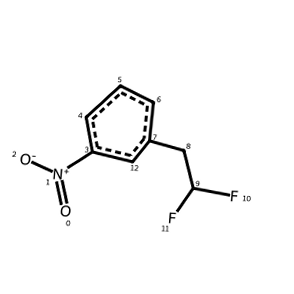 O=[N+]([O-])c1cccc(CC(F)F)c1